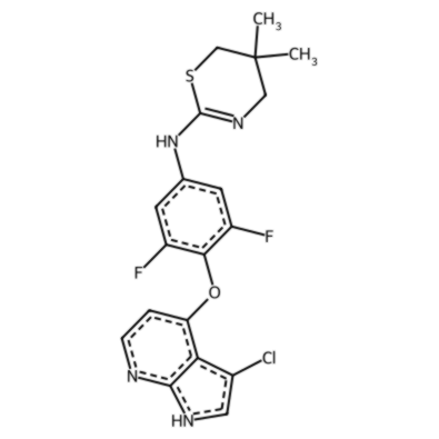 CC1(C)CN=C(Nc2cc(F)c(Oc3ccnc4[nH]cc(Cl)c34)c(F)c2)SC1